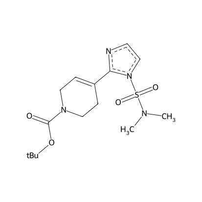 CN(C)S(=O)(=O)n1ccnc1C1=CCN(C(=O)OC(C)(C)C)CC1